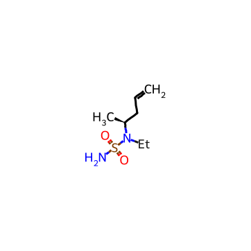 C=CC[C@H](C)N(CC)S(N)(=O)=O